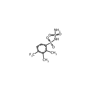 Cc1c(C(F)(F)F)ccc(S(=O)(=O)NS(N)(=O)=O)c1C